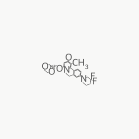 Cc1c2n(c(OC[C@@H]3COCCO3)cc1=O)CCc1cc(N3CCCC(F)(F)C3)ccc1-2